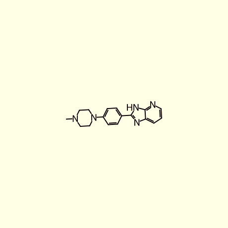 CN1CCN(c2ccc(-c3nc4cccnc4[nH]3)cc2)CC1